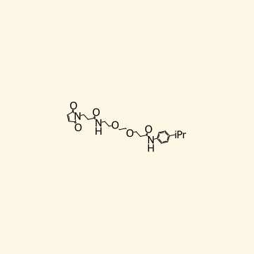 CC(C)c1ccc(NC(=O)CCOCCOCCNC(=O)CCN2C(=O)C=CC2=O)cc1